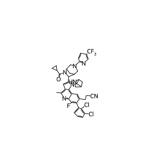 Cc1nc2c(F)c(-c3cccc(Cl)c3Cl)c(CCC#N)cc2c2c1cc(C1C3CC(CN(c4ccc(C(F)(F)F)cn4)C3)N1C(=O)C1CC1)n2C1C2CNC1C2